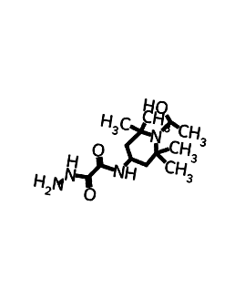 CC(O)N1C(C)(C)CC(NC(=O)C(=O)NN)CC1(C)C